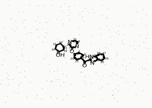 O=C(c1ccc(Oc2nccnc2[C@H]2CCC[C@H](O)C2)cc1)c1nc2ccccc2[nH]1